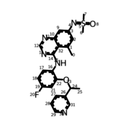 Cc1cc(N=S(C)(C)=O)cc2ncnc(Nc3ccc(F)cc3OC(C)c3cccnc3)c12